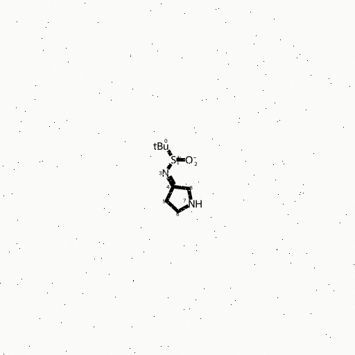 CC(C)(C)[S+]([O-])/N=C1/CCNC1